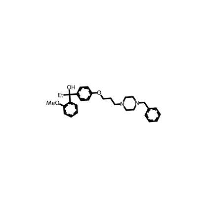 CCC(O)(c1ccc(OCCCN2CCN(Cc3ccccc3)CC2)cc1)c1ccccc1OC